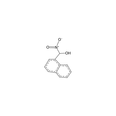 O=[N+]([O-])C(O)c1cccc2ccccc12